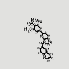 CNC(=O)c1ccc(-c2ccc3ncn(Cc4ccc5ncccc5c4)c3n2)cc1C